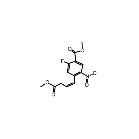 COC(=O)C/C=C\c1cc(F)c(C(=O)OC)cc1[N+](=O)[O-]